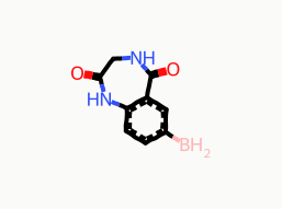 Bc1ccc2c(c1)C(=O)NCC(=O)N2